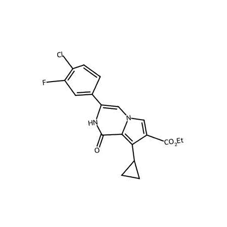 CCOC(=O)c1cn2cc(-c3ccc(Cl)c(F)c3)[nH]c(=O)c2c1C1CC1